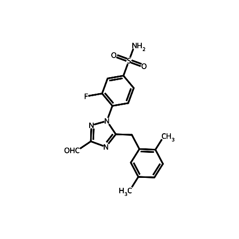 Cc1ccc(C)c(Cc2nc(C=O)nn2-c2ccc(S(N)(=O)=O)cc2F)c1